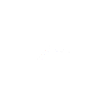 O=C(NCC(=O)C(c1cccs1)N1CCC2C1C(=O)CN2S(=O)(=O)c1cccc[n+]1[O-])c1ccc(-c2cccs2)cc1